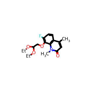 CCOC(COc1c(F)ccc2c(C)cc(=O)n(C)c12)OCC